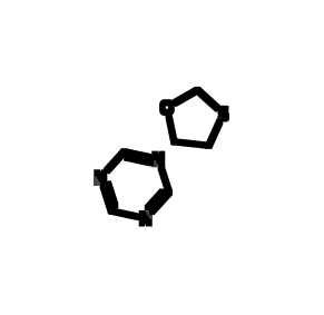 C1CSCO1.c1ncncn1